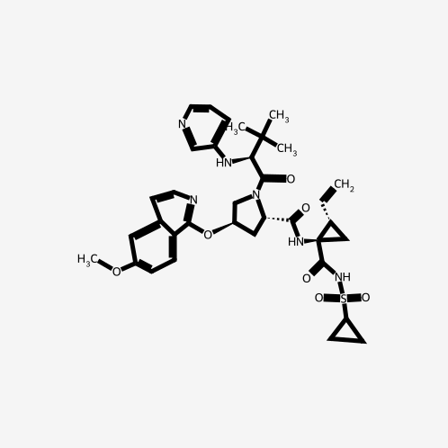 C=C[C@@H]1C[C@]1(NC(=O)[C@@H]1C[C@@H](Oc2nccc3cc(OC)ccc23)CN1C(=O)[C@@H](Nc1cccnc1)C(C)(C)C)C(=O)NS(=O)(=O)C1CC1